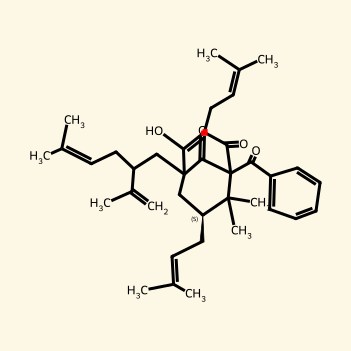 C=C(C)C(CC=C(C)C)CC12C[C@H](CC=C(C)C)C(C)(C)C(C(=O)c3ccccc3)(C(=O)C(CC=C(C)C)=C1O)C2=O